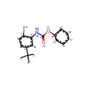 CC(C)(C)c1ccc(F)c(NC(=O)Oc2ccccc2)c1